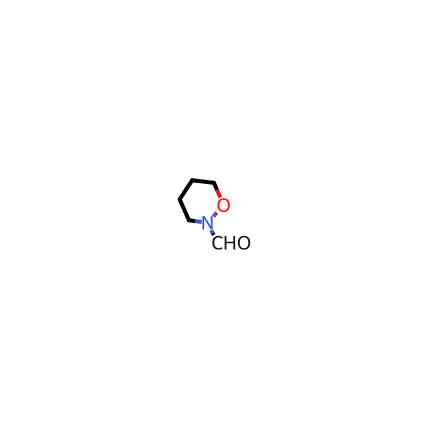 O=CN1CCCCO1